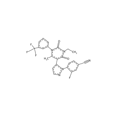 CCn1c(=O)c(-c2ccnn2-c2ccc(C#N)cc2F)c(C)n(-c2cccc(C(F)(F)F)c2)c1=O